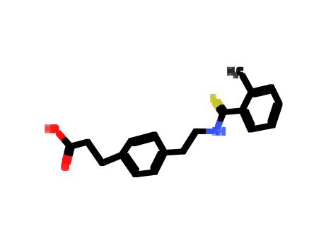 Cc1ccccc1C(=S)NCCc1ccc(CCC(=O)O)cc1